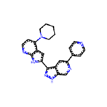 c1cc(-c2cc3c(-c4cc5c(N6CCCCC6)ccnc5[nH]4)n[nH]c3cn2)ccn1